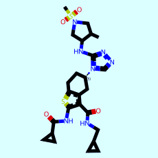 CC1CN(S(C)(=O)=O)CC1Nc1nncn1[C@H]1CCc2sc(NC(=O)C3CC3)c(C(=O)NCC3CC3)c2C1